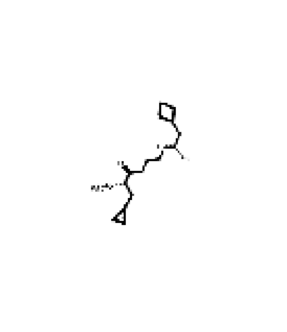 CN[C@@H](CC1CC1)C(=O)CCCN[C@@H](CC1CCC1)C(C)=O